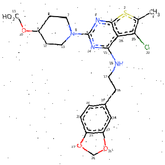 Cc1sc2nc(N3CCC(OC(=O)O)CC3)nc(NCCc3ccc4c(c3)OCO4)c2c1Cl